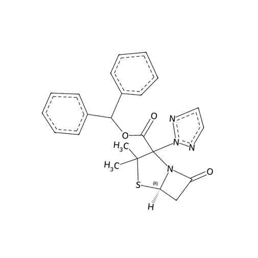 CC1(C)S[C@@H]2CC(=O)N2C1(C(=O)OC(c1ccccc1)c1ccccc1)n1nccn1